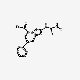 CCNC(=O)Nc1cn2c(C(=O)CC)nc(-c3cccnc3)cc2n1